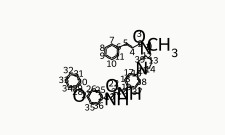 CN(C(=O)/C=C/c1ccccc1)C1CCN(c2ccc(NC(=O)Nc3ccc(Oc4ccccc4)cc3)cc2)C1